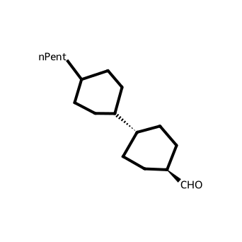 CCCCCC1CCC([C@H]2CC[C@H](C=O)CC2)CC1